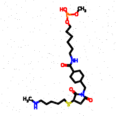 CNCCCCCSC1CC(=O)N(CC2CCC(C(=O)NCCCCCCOP(O)OC)CC2)C1=O